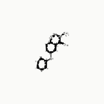 Cn1nnc2ccc(Oc3ccccc3)cc2c1=O